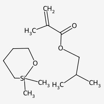 C=C(C)C(=O)OCC(C)C.C[Si]1(C)CCCCO1